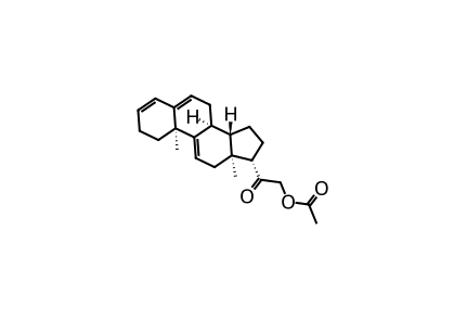 CC(=O)OCC(=O)[C@H]1CC[C@H]2[C@@H]3CC=C4C=CCC[C@]4(C)C3=CC[C@]12C